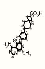 Cc1nn(-c2ccc(C3CCC4(CC3)CC(C(=O)O)C4)cc2)c(=O)c2c(N)ncnc12